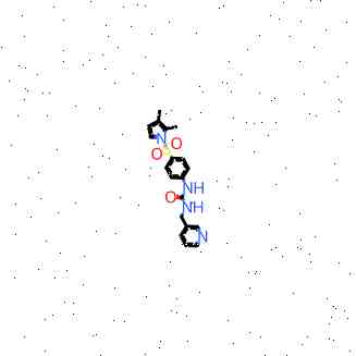 Cc1ccn(S(=O)(=O)c2ccc(NC(=O)NCc3cccnc3)cc2)c1C